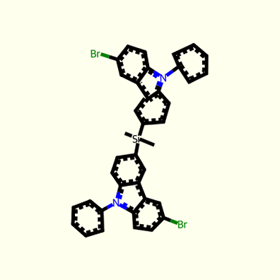 C[Si](C)(c1ccc2c(c1)c1cc(Br)ccc1n2-c1ccccc1)c1ccc2c(c1)c1cc(Br)ccc1n2-c1ccccc1